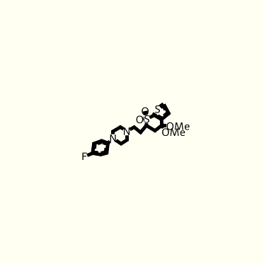 COC1(OC)CC(CCN2CCN(c3ccc(F)cc3)CC2)S(=O)(=O)c2sccc21